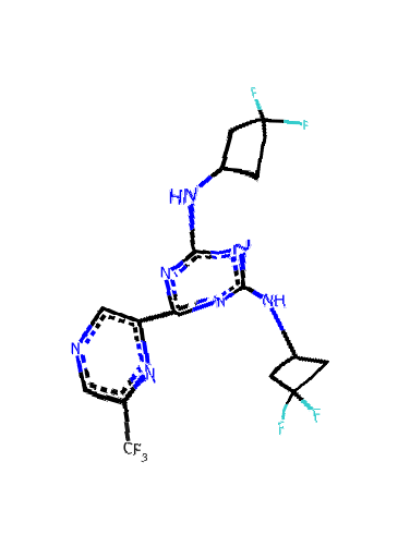 FC1(F)CC(Nc2nc(NC3CC(F)(F)C3)nc(-c3cncc(C(F)(F)F)n3)n2)C1